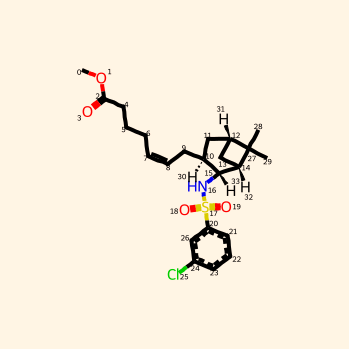 COC(=O)CCC/C=C\C[C@H]1C[C@H]2C[C@@H]([C@@H]1NS(=O)(=O)c1cccc(Cl)c1)C2(C)C